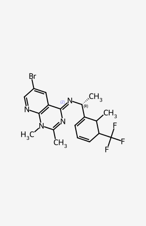 Cc1n/c(=N\[C@H](C)C2=CC=CC(C(F)(F)F)C2C)c2cc(Br)cnc2n1C